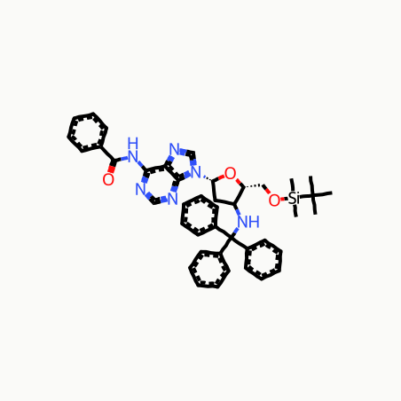 CC(C)(C)[Si](C)(C)OC[C@H]1O[C@@H](n2cnc3c(NC(=O)c4ccccc4)ncnc32)CC1NC(c1ccccc1)(c1ccccc1)c1ccccc1